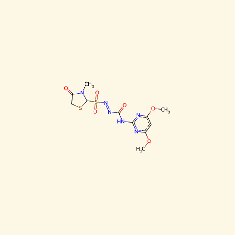 COc1cc(OC)nc(NC(=O)N=NS(=O)(=O)C2SCC(=O)N2C)n1